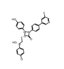 O=C1[C@H](SC[C@@H](O)c2ccc(Cl)cc2)[C@@H](c2ccc(O)cc2)N1c1ccc(-c2cncc(F)c2)cc1